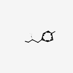 N[C@H](CC(=O)O)Cc1ccc(F)cc1